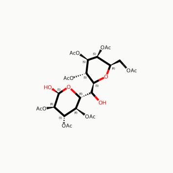 CC(=O)OC[C@H]1O[C@@H](C(O)[C@H]2O[C@H](O)[C@H](OC(C)=O)[C@@H](OC(C)=O)[C@@H]2OC(C)=O)[C@H](OC(C)=O)[C@@H](OC(C)=O)[C@H]1OC(C)=O